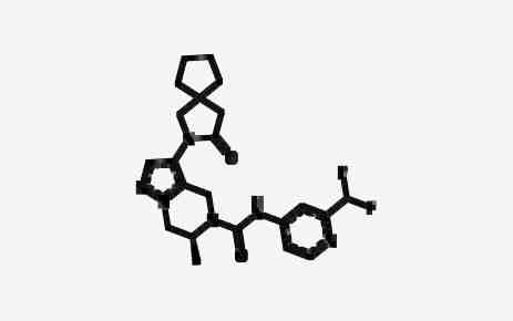 C[C@H]1Cn2ncc(N3CC4(CCCC4)CC3=O)c2CN1C(=O)Nc1ccnc(C(F)F)c1